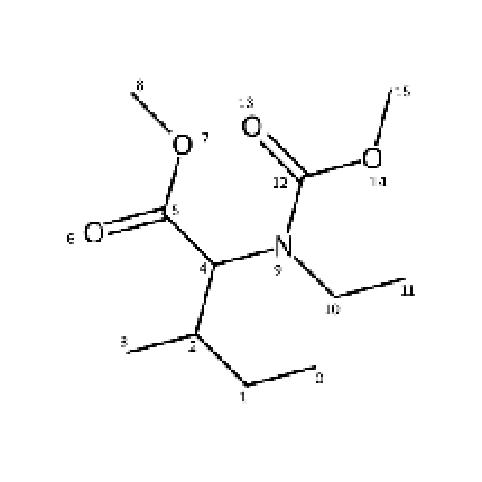 CCC(C)C(C(=O)OC)N(CC)C(=O)OC